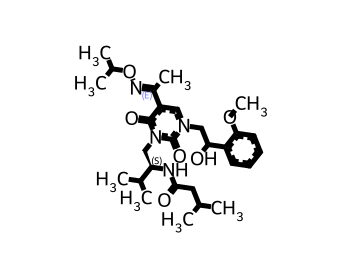 COc1ccccc1C(O)Cn1cc(/C(C)=N/OC(C)C)c(=O)n(C[C@@H](NC(=O)CC(C)C)C(C)C)c1=O